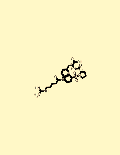 N=C(N)NCCCCC(=O)Nc1ccc(C[C@H](NC(=O)[C@@H]2CCCN2S(=O)(=O)c2ccccc2)C(=O)O)nc1